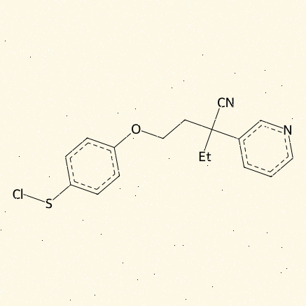 CCC(C#N)(CCOc1ccc(SCl)cc1)c1cccnc1